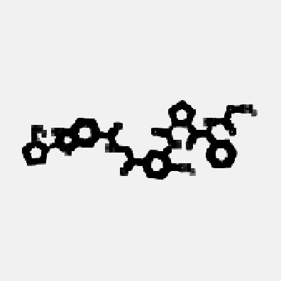 BN1CCC[C@H]1c1nc2cc(C(=O)NCC(=O)c3ccc(C)c(NC(=O)[C@@H]4CCCN4C(=O)[C@H](NC(=O)OC)c4ccccc4)c3)ccc2[nH]1